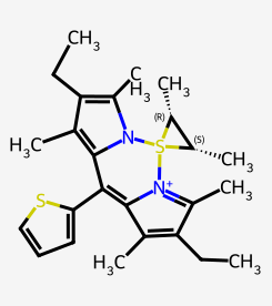 CCC1=C(C)C2=C(c3cccs3)c3c(C)c(CC)c(C)n3S3([C@H](C)[C@@H]3C)[N+]2=C1C